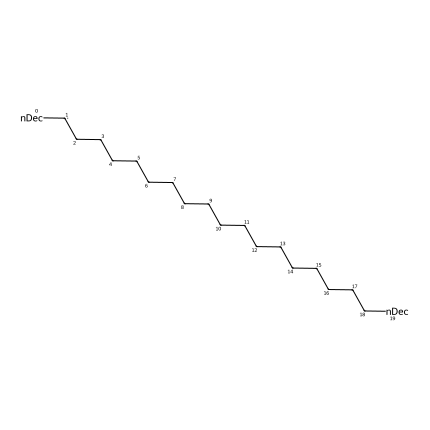 CCCCCCCCCC[CH]CCCCCCCCCCCCCCCCCCCCCCCCCCC